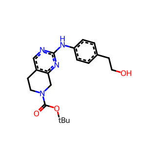 CC(C)(C)OC(=O)N1CCc2cnc(Nc3ccc(CCO)cc3)nc2C1